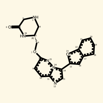 O=C1CNC[C@H](COc2ccc3ncc(-c4cc5ccccc5o4)n3n2)N1